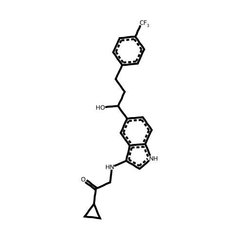 O=C(CNc1c[nH]c2ccc(C(O)CCc3ccc(C(F)(F)F)cc3)cc12)C1CC1